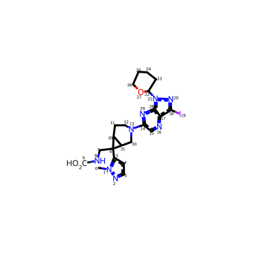 Cn1nccc1C1(CNC(=O)O)C2CCN(c3cnc4c(I)nn(C5CCCCO5)c4n3)CC21